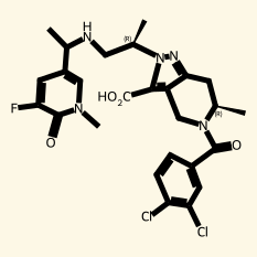 CC(NC[C@@H](C)n1nc2c(c1C(=O)O)CN(C(=O)c1ccc(Cl)c(Cl)c1)[C@H](C)C2)c1cc(F)c(=O)n(C)c1